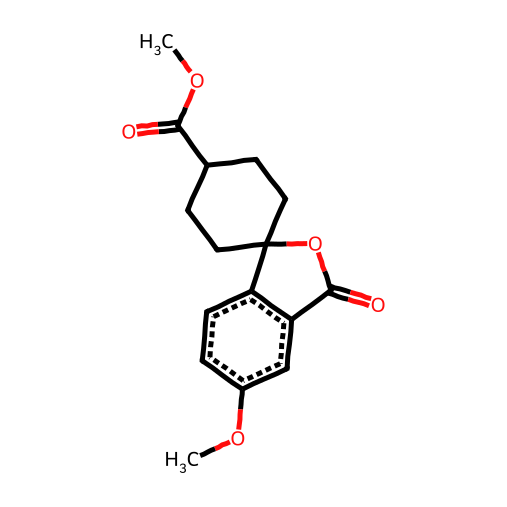 COC(=O)C1CCC2(CC1)OC(=O)c1cc(OC)ccc12